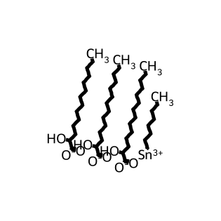 CCCCCCCCCCCCC(O)C(=O)[O-].CCCCCCCCCCCCC(O)C(=O)[O-].CCCCCCCCCCCCC(O)C(=O)[O-].CCCCCCC[CH2][Sn+3]